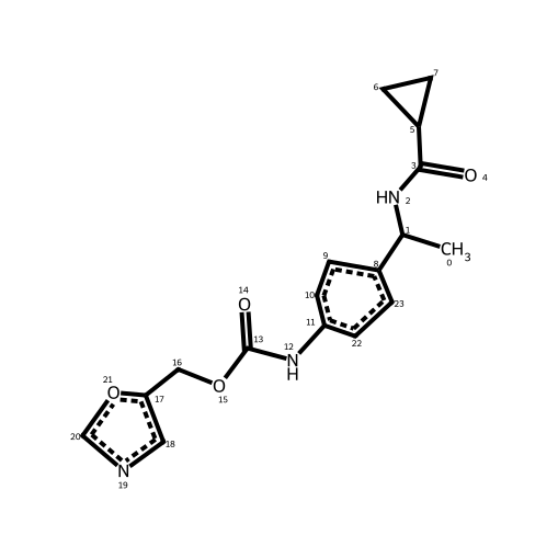 CC(NC(=O)C1CC1)c1ccc(NC(=O)OCc2cnco2)cc1